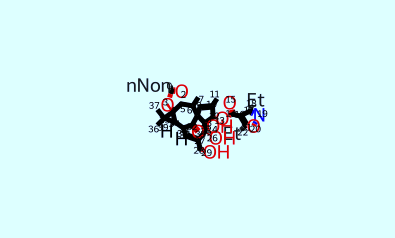 CCCCCCCCCC(=O)O[C@@]12CC(C)C34C=C(C)[C@H](OC(=O)c5c(CC)noc5CC)[C@@]3(O)[C@H](O)C(CO)=C[C@H](C4=O)[C@@H]1C2(C)C